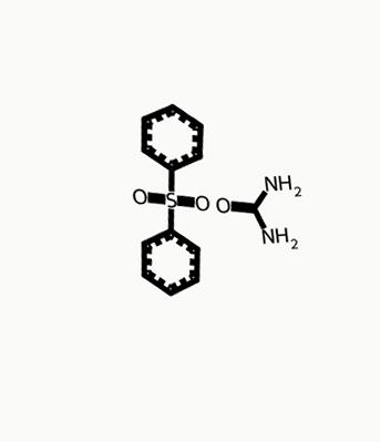 NC(N)=O.O=S(=O)(c1ccccc1)c1ccccc1